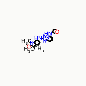 CN1C(=O)C(C)(C)c2ccc(Nc3nc4cccc(NC5CCOC5)n4n3)cc21